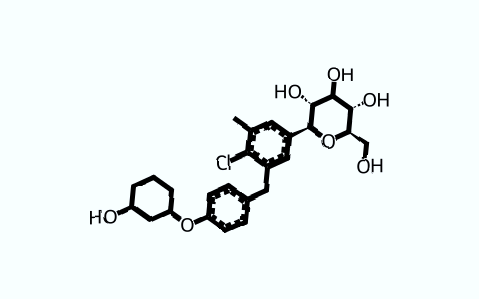 Cc1cc([C@@H]2O[C@H](CO)[C@@H](O)C(O)[C@H]2O)cc(Cc2ccc(OC3CCCC(O)C3)cc2)c1Cl